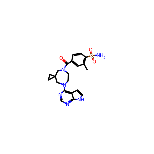 Cc1cc(C(=O)N2CCN(c3ncnc4[nH]ccc34)CC3(CC3)C2)ccc1S(N)(=O)=O